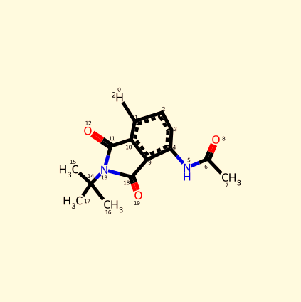 [2H]c1ccc(NC(C)=O)c2c1C(=O)N(C(C)(C)C)C2=O